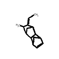 CC=C1C(C)C2CC1C1C3C=CC(C3)C21